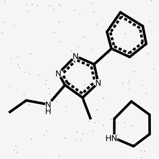 C1CCNCC1.CCNc1nnc(-c2ccccc2)nc1C